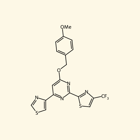 COc1ccc(COc2cc(-c3cscn3)nc(-c3nc(C(F)(F)F)cs3)n2)cc1